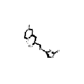 CCc1nc(OCC(O)CC2CNCCN2)cs1